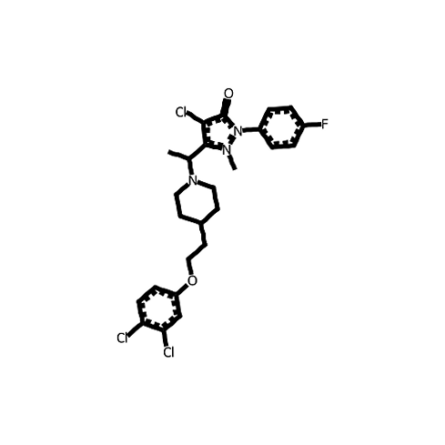 CC(c1c(Cl)c(=O)n(-c2ccc(F)cc2)n1C)N1CCC(CCOc2ccc(Cl)c(Cl)c2)CC1